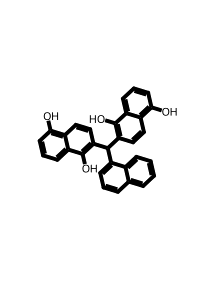 Oc1cccc2c(O)c(C(c3ccc4c(O)cccc4c3O)c3cccc4ccccc34)ccc12